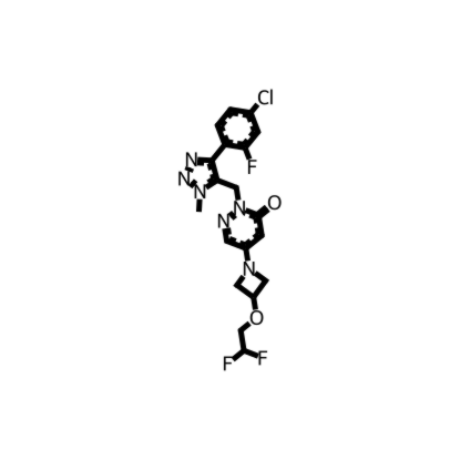 Cn1nnc(-c2ccc(Cl)cc2F)c1Cn1ncc(N2CC(OCC(F)F)C2)cc1=O